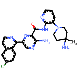 CC1(N)CCN(c2cccnc2NC(=O)c2nc(-c3nccc4cc(Cl)ccc34)cnc2N)CC1